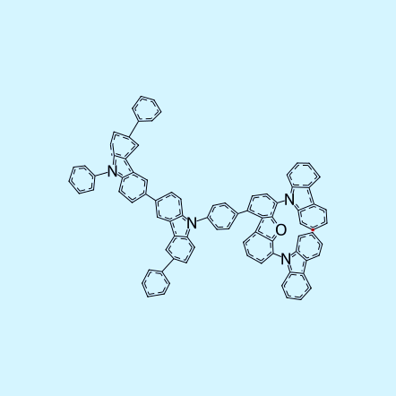 c1ccc(-c2ccc3c(c2)c2cc(-c4ccc5c(c4)c4cc(-c6ccccc6)ccc4n5-c4ccc(-c5ccc(-n6c7ccccc7c7ccccc76)c6oc7c(-n8c9ccccc9c9ccccc98)cccc7c56)cc4)ccc2n3-c2ccccc2)cc1